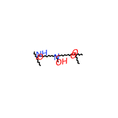 CCCCCCC(CCCC)C(=N)OCCCCCCCCCN(CCCO)CCCCCCCCCOC(=O)C(CCCC)CCCCCC